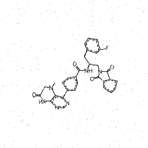 CN1CC(=O)Nc2ncnc(-c3ccc(C(=O)NC(Cc4cccc(F)c4)CN4C(=O)c5ccccc5C4=O)cc3)c21